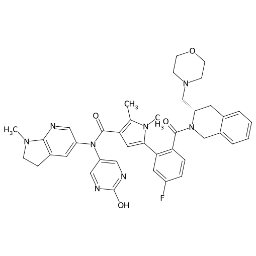 Cc1c(C(=O)N(c2cnc(O)nc2)c2cnc3c(c2)CCN3C)cc(-c2cc(F)ccc2C(=O)N2Cc3ccccc3C[C@H]2CN2CCOCC2)n1C